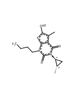 Cc1c(C=O)sc2c1c(=O)n([C@H]1C[C@@H]1C)c(=O)n2CCCC(F)(F)F